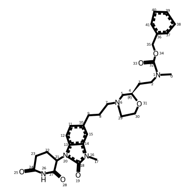 CN(CC[C@@H]1CN(CCCc2ccc3c(c2)n(C)c(=O)n3C2CCC(=O)NC2=O)CCO1)C(=O)OCc1ccccc1